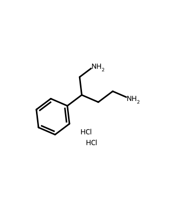 Cl.Cl.NCCC(CN)c1ccccc1